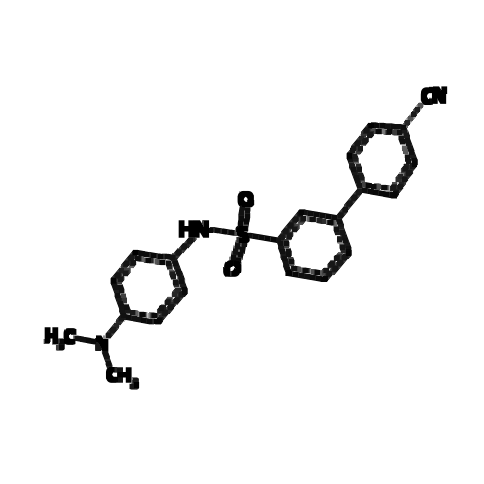 CN(C)c1ccc(NS(=O)(=O)c2cccc(-c3ccc(C#N)cc3)c2)cc1